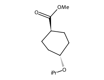 COC(=O)[C@H]1CC[C@H](OC(C)C)CC1